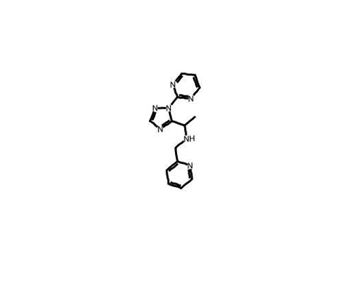 CC(NCc1ccccn1)c1ncnn1-c1ncccn1